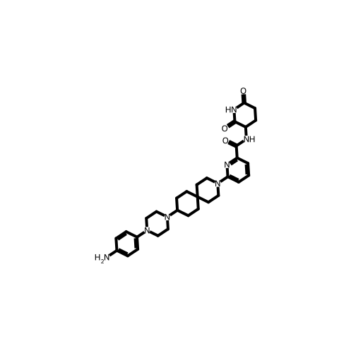 Nc1ccc(N2CCN(C3CCC4(CC3)CCN(c3cccc(C(=O)NC5CCC(=O)NC5=O)n3)CC4)CC2)cc1